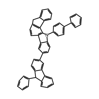 c1ccc(-c2ccc(-n3c4ccc(-c5ccc6c(c5)-c5ccccc5C6c5ccccc5)cc4c4ccc5c(c43)-c3ccccc3C5)cc2)cc1